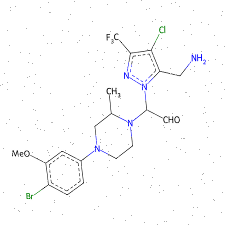 COc1cc(N2CCN(C(C=O)n3nc(C(F)(F)F)c(Cl)c3CN)C(C)C2)ccc1Br